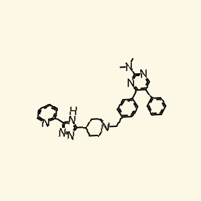 CN(C)c1ncc(-c2ccccc2)c(-c2ccc(CN3CCC(c4nnc(-c5ccccn5)[nH]4)CC3)cc2)n1